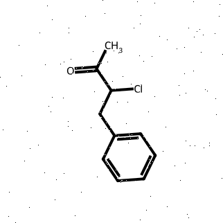 CC(=O)C(Cl)Cc1ccccc1